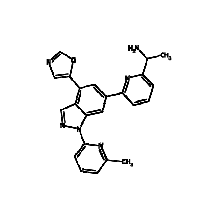 Cc1cccc(-n2ncc3c(-c4cnco4)cc(-c4cccc(C(C)N)n4)cc32)n1